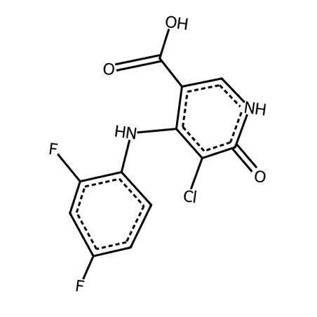 O=C(O)c1c[nH]c(=O)c(Cl)c1Nc1ccc(F)cc1F